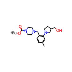 Cc1ccc(CN2CCN(C(=O)OC(C)(C)C)CC2)c(N2CCC(CO)C2)c1